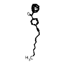 CCCCCCCCC#Cc1ccc(C(=O)[C]23[CH]4[CH]5[CH]6[CH]2[Fe]56432789[CH]3[CH]2[CH]7[CH]8[CH]39)cc1